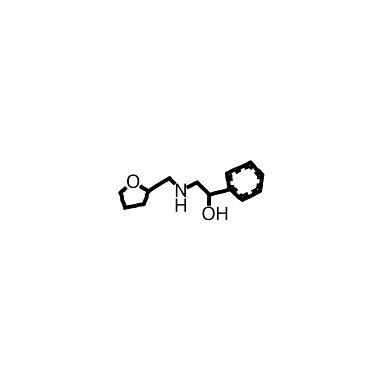 OC(CNCC1CCCO1)c1ccccc1